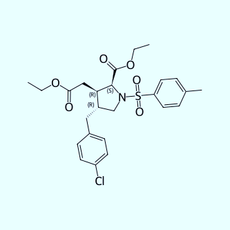 CCOC(=O)C[C@@H]1[C@@H](Cc2ccc(Cl)cc2)CN(S(=O)(=O)c2ccc(C)cc2)[C@@H]1C(=O)OCC